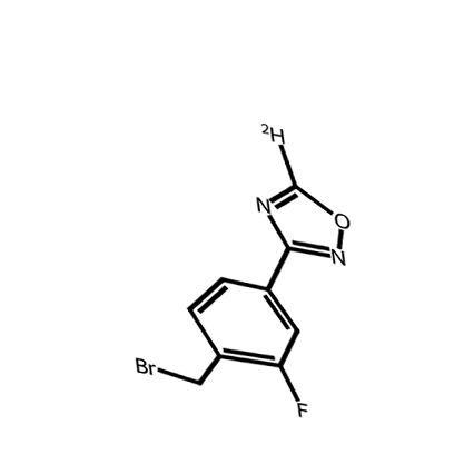 [2H]c1nc(-c2ccc(CBr)c(F)c2)no1